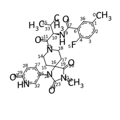 Cc1ccc(F)c(C(=O)N[C@@H](C(=O)N2CCC3(CC2)C(=O)N(C)C(=O)N3c2ccc(=O)[nH]c2)C(C)C)c1